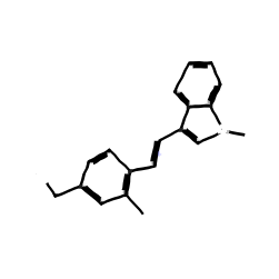 CC(=O)Cc1ccc(/C=C/c2cn(C)c3ccccc23)c(C)c1